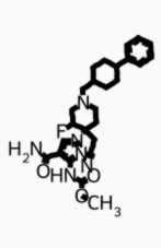 COC(=O)Nc1nn(C2(CC#N)CCN(CC3CCC(c4ccccc4)CC3)CC2F)cc1C(N)=O